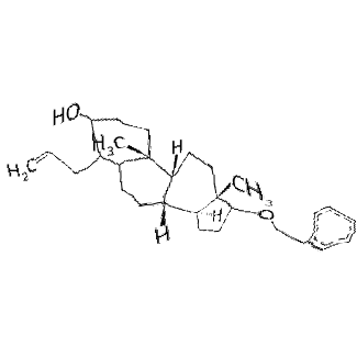 C=CCC1C(O)CC[C@@]2(C)C1CC[C@@H]1[C@H]2CC[C@]2(C)C(OCc3ccccc3)CC[C@@H]12